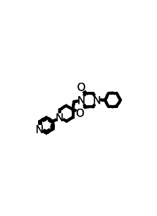 O=C1CN(C2CCCCC2)CC2OC3(CCN(c4ccncc4)CC3)CN12